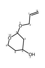 C=CCOC1CC(O)CCO1